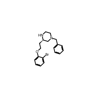 Brc1ccccc1OCC[C@@H]1CN(Cc2ccccc2)CCN1